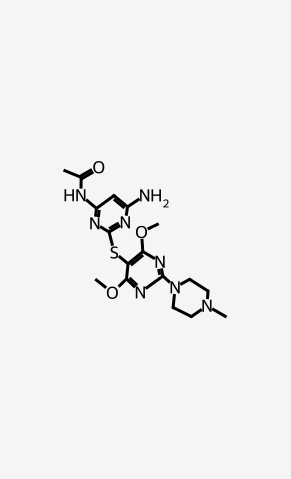 COc1nc(N2CCN(C)CC2)nc(OC)c1Sc1nc(N)cc(NC(C)=O)n1